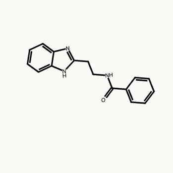 O=C(NCCc1nc2ccccc2[nH]1)c1ccccc1